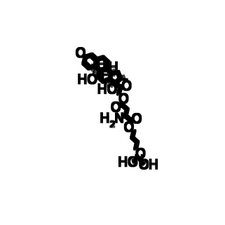 C[C@@H]1C[C@H]2[C@@H]3CCC4=CC(=O)C=C[C@]4(C)[C@@]3(F)[C@@H](O)C[C@]2(C)[C@@]1(O)C(=O)COC(=O)CC(N)C(=O)OCCCCON(O)O